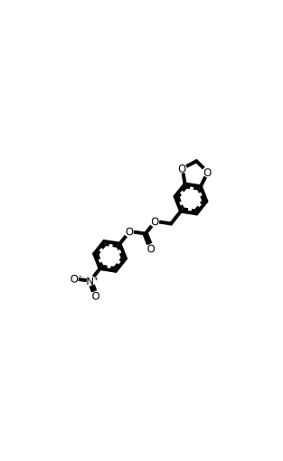 O=C(OCc1ccc2c(c1)OCO2)Oc1ccc([N+](=O)[O-])cc1